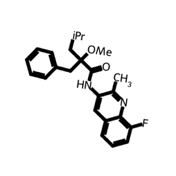 COC(Cc1ccccc1)(CC(C)C)C(=O)Nc1cc2cccc(F)c2nc1C